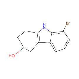 OC1CCc2[nH]c3c(Br)cccc3c2C1